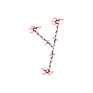 O=C(CCOCN(COCCC(=O)NCCOCCOCCO[C@H]1OC(CO)[C@@H](O)C(O)C1O)COCCC(=O)NCCOCCOCCO[C@H]1OC(CO)[C@@H](O)C(O)C1O)NCCOCCOCCO[C@H]1OC(CO)[C@@H](O)C(O)C1O